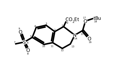 CCOC(=O)C1c2ccc(S(C)(=O)=O)cc2CCN1C(=O)OC(C)(C)C